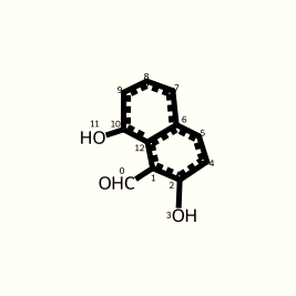 O=Cc1c(O)ccc2cccc(O)c12